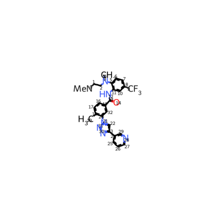 CNCCN(C)c1ccc(C(F)(F)F)cc1NC(=O)c1ccc(C)c(-n2cc(-c3cccnc3)nn2)c1